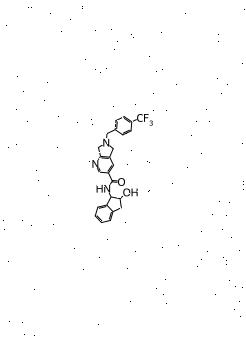 O=C(NC1c2ccccc2CC1O)c1cnc2c(c1)CN(Cc1ccc(C(F)(F)F)cc1)C2